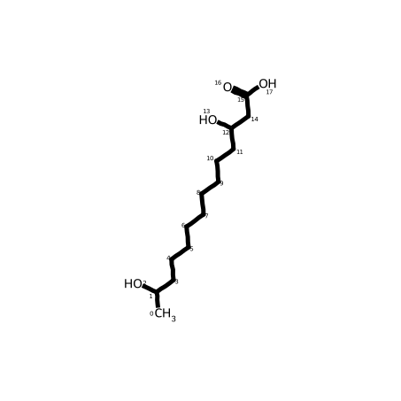 CC(O)CCCCCCCCCC(O)CC(=O)O